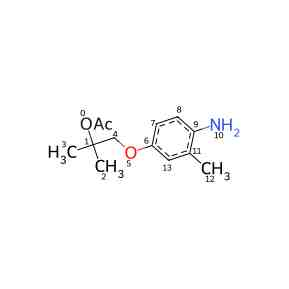 CC(=O)OC(C)(C)COc1ccc(N)c(C)c1